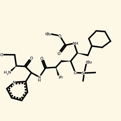 CC(C)[C@H](C[C@H](O[Si](C)(C)C(C)(C)C)[C@H](CC1CCCCC1)NC(=O)OC(C)(C)C)C(=O)NC(C(=O)[C@@H](N)CO)c1ccccn1